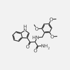 COc1cc(OC)c(CNC(C(N)=O)C(=O)c2c[nH]c3ccccc23)c(OC)c1